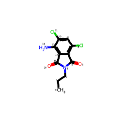 CCCN1C(=O)c2c(Cl)cc(Cl)c(N)c2C1=O